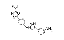 Nc1cccc(-c2cn(Cc3ccc(-c4nnc(C(F)F)o4)cc3)nn2)c1